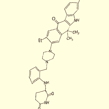 CCc1cc2c(cc1N1CCN(Cc3ccccc3NC3CCC(=O)NC3=O)CC1)C(C)(C)c1[nH]c3cc(C#N)ccc3c1C2=O